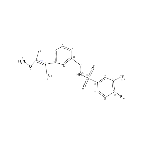 CCC(C)/C(=C(/C)ON)c1cccc(CNS(=O)(=O)c2ccc(F)c(C(F)(F)F)c2)c1